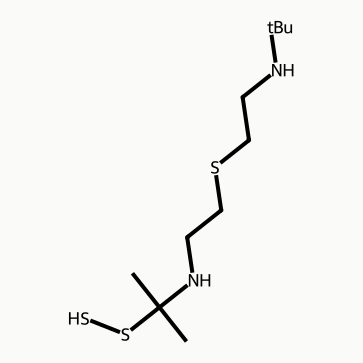 CC(C)(C)NCCSCCNC(C)(C)SS